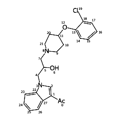 CC(=O)c1cn(CC(O)CN2CCC(Oc3ccccc3Cl)CC2)c2ccccc12